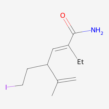 C=C(C)C(/C=C(\CC)C(N)=O)CCI